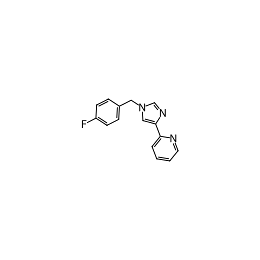 Fc1ccc(Cn2cnc(-c3ccccn3)c2)cc1